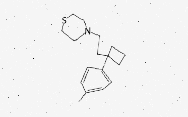 Cc1ccc(C2(CCN3CCSCC3)CCC2)cc1